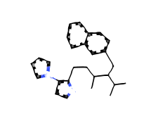 CC(C)C(Cc1ccc2ccccc2c1)C(C)CCc1[nH]ccc1-n1cccc1